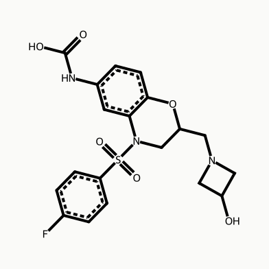 O=C(O)Nc1ccc2c(c1)N(S(=O)(=O)c1ccc(F)cc1)CC(CN1CC(O)C1)O2